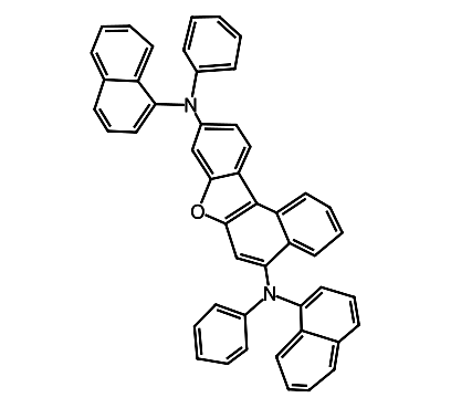 c1ccc(N(c2ccc3c(c2)oc2cc(N(c4ccccc4)c4cccc5ccccc45)c4ccccc4c23)c2cccc3ccccc23)cc1